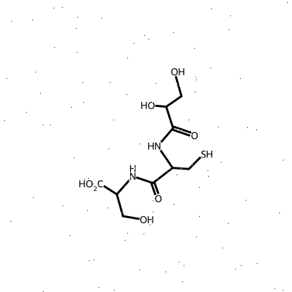 O=C(NC(CS)C(=O)NC(CO)C(=O)O)C(O)CO